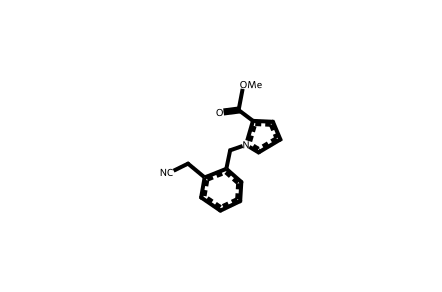 COC(=O)c1cccn1Cc1ccccc1CC#N